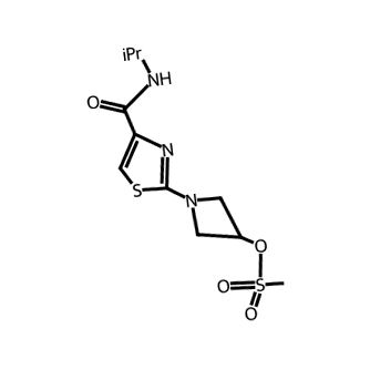 CC(C)NC(=O)c1csc(N2CC(OS(C)(=O)=O)C2)n1